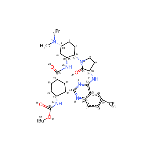 CC(C)N(C)[C@@H]1CC[C@H](N2CC[C@H](Nc3ncnc4ccc(C(F)(F)F)cc34)C2=O)[C@H](NC(=O)[C@H]2CC[C@@H](NC(=O)OC(C)(C)C)CC2)C1